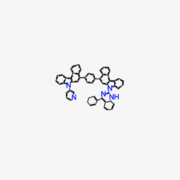 C1=CC2=C(C3=CCCC=C3)N=C(n3c4ccccc4c4c5ccccc5c(-c5ccc(-c6cc7c(c8ccccc68)c6ccccc6n7-c6cccnc6)cc5)cc43)NC2C=C1